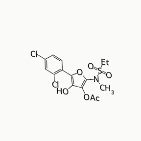 CCS(=O)(=O)N(C)c1oc(-c2ccc(Cl)cc2Cl)c(O)c1OC(C)=O